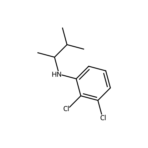 CC(C)C(C)Nc1cccc(Cl)c1Cl